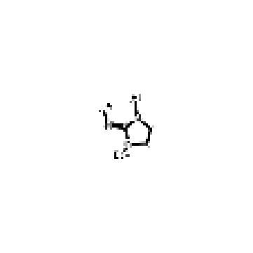 CCN1CCN(CC)C1=NC(C)C